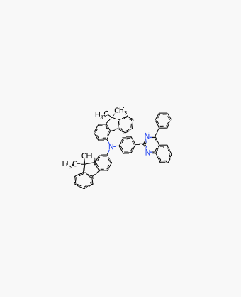 CC1(C)c2ccccc2-c2ccc(N(c3ccc(-c4nc(-c5ccccc5)c5ccccc5n4)cc3)c3cccc4c3-c3ccccc3C4(C)C)cc21